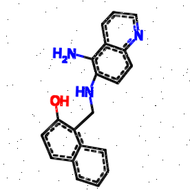 Nc1c(NCc2c(O)ccc3ccccc23)ccc2ncccc12